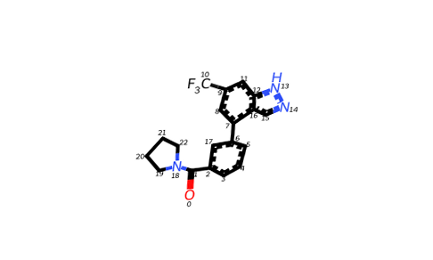 O=C(c1cccc(-c2cc(C(F)(F)F)cc3[nH]ncc23)c1)N1CCCC1